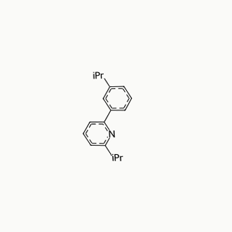 CC(C)c1cccc(-c2cccc(C(C)C)n2)c1